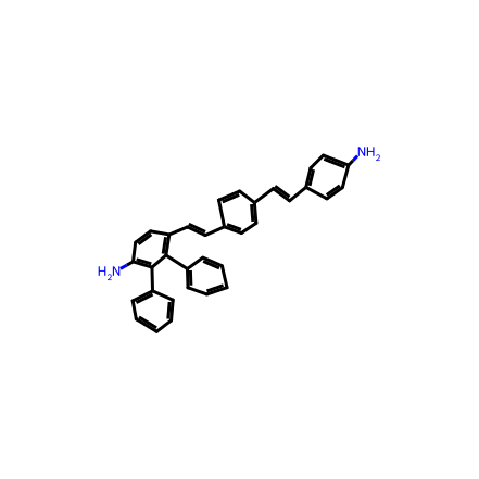 Nc1ccc(C=Cc2ccc(C=Cc3ccc(N)c(-c4ccccc4)c3-c3ccccc3)cc2)cc1